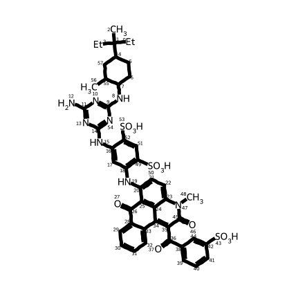 CCC(C)(CC)C1CCC(Nc2nc(N)nc(Nc3cc(Nc4ccc5c6c4C(=O)c4ccccc4-c6c(C(=O)c4cccc(S(=O)(=O)O)c4)c(=O)n5C)c(S(=O)(=O)O)cc3S(=O)(=O)O)n2)C(C)C1